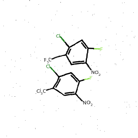 O=[N+]([O-])c1cc(C(Cl)(Cl)Cl)c(Cl)cc1F.O=[N+]([O-])c1cc(C(F)(F)F)c(Cl)cc1F